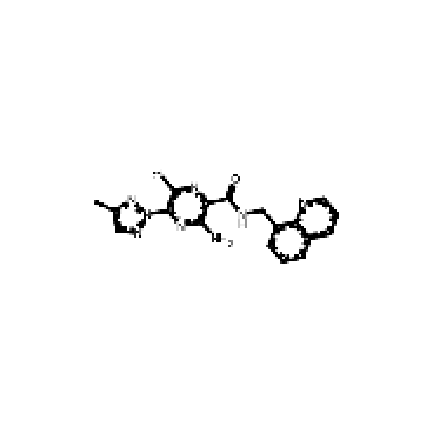 Cc1cnn(-c2nc(N)c(C(=O)NCc3cccc4cccnc34)nc2Cl)n1